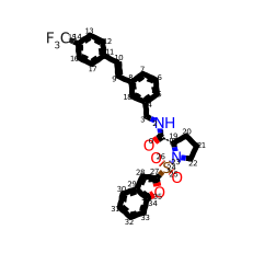 O=C(NCc1cccc(C=Cc2ccc(C(F)(F)F)cc2)c1)[C@@H]1CCCN1S(=O)(=O)c1cc2ccccc2o1